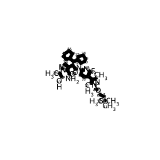 Cc1nn(COCC[Si](C)(C)C)c(C)c1-c1ccc(NC(=O)[C@H](c2cnn([C@@H](C)CO)c2C(N)=O)C(C2CCCCC2)C2CCCCC2)nc1F